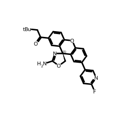 CC(C)(C)CC(=O)c1ccc2c(c1)[C@]1(COC(N)=N1)c1cc(-c3ccc(F)nc3)ccc1O2